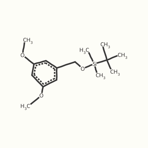 COc1cc(CO[Si](C)(C)C(C)(C)C)cc(OC)c1